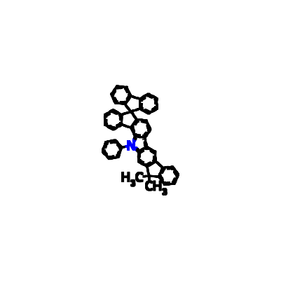 CC1(C)c2ccccc2-c2cc3c4ccc5c(c4n(-c4ccccc4)c3cc21)-c1ccccc1C51c2ccccc2-c2ccccc21